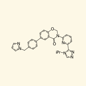 CC(C)n1cnnc1-c1cccc(N2COc3ccc(-c4ccc(Cn5cccn5)cc4)cc3C2=O)n1